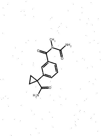 CN(C(N)=O)C(=O)c1cccc(C2(C(N)=O)CC2)c1